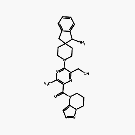 Cc1nc(N2CCC3(CC2)Cc2ccccc2C3N)c(CO)nc1C(=O)N1CCCn2nccc21